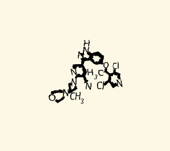 C[C@@H](Oc1ccc2[nH]nc(-c3cnc(N4CC(C)(N5CCOCC5)C4)c(C#N)c3)c2c1)c1c(Cl)cncc1Cl